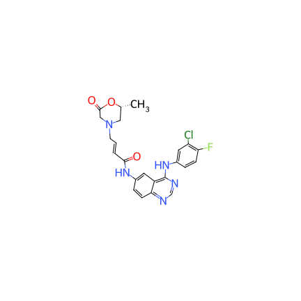 C[C@@H]1CN(CC=CC(=O)Nc2ccc3ncnc(Nc4ccc(F)c(Cl)c4)c3c2)CC(=O)O1